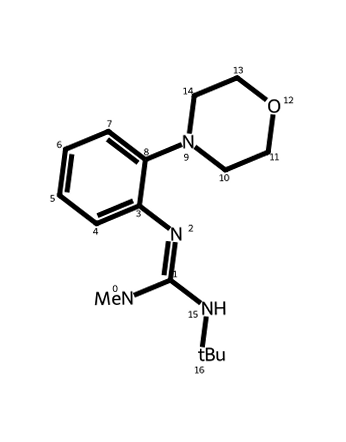 CN/C(=N\c1ccccc1N1CCOCC1)NC(C)(C)C